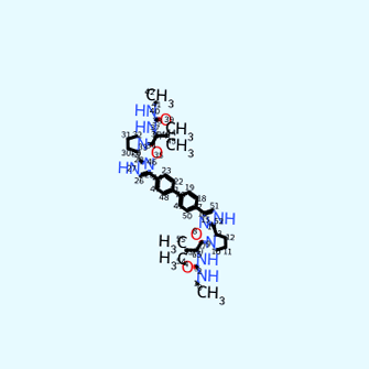 CCNC(=O)N[C@H](C(=O)N1CCCC1c1nc(-c2ccc(-c3ccc(-c4c[nH]c([C@@H]5CCCN5C(=O)[C@@H](NC(=O)NCC)C(C)C)n4)cc3)cc2)c[nH]1)C(C)C